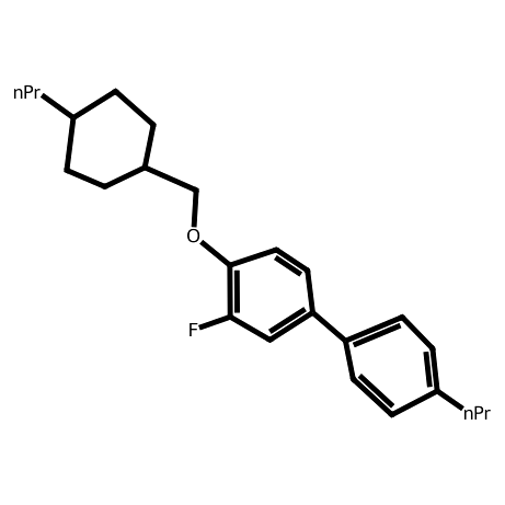 CCCc1ccc(-c2ccc(OCC3CCC(CCC)CC3)c(F)c2)cc1